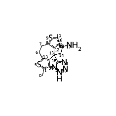 Cc1cc2c(s1)CCc1sccc1C2(C[C@H](C)N)c1nn[nH]n1